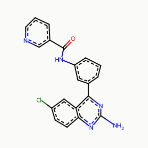 Nc1nc(-c2cccc(NC(=O)c3cccnc3)c2)c2cc(Cl)ccc2n1